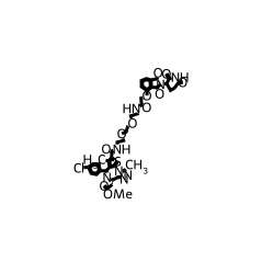 COC(=O)C[C@@H]1N=C(c2ccc(Cl)cc2)c2c(sc(C(=O)NCCOCCOCCNC(=O)COc3cccc4c3C(=O)N(C3CCC(=O)NC3=O)C4=O)c2C)-n2c(C)nnc21